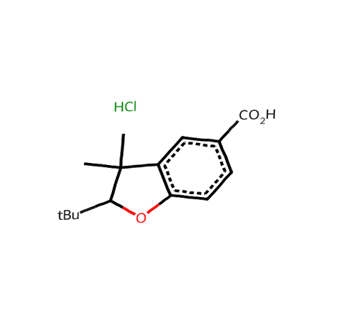 CC(C)(C)C1Oc2ccc(C(=O)O)cc2C1(C)C.Cl